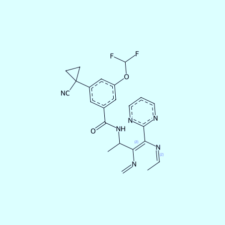 C=N/C(=C(\N=C/C)c1ncccn1)C(C)NC(=O)c1cc(OC(F)F)cc(C2(C#N)CC2)c1